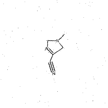 CN1[CH]N=C(C#N)C1